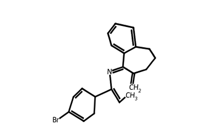 C=C1CCCc2ccccc2/C1=N/C(=C\C)C1C=CC(Br)=CC1